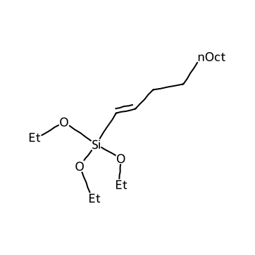 CCCCCCCCCCC=C[Si](OCC)(OCC)OCC